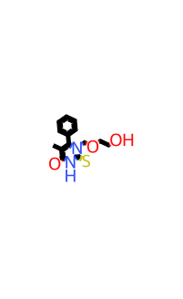 Cc1c(-c2ccccc2)n(COCCO)c(=S)[nH]c1=O